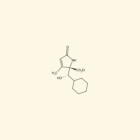 CCOC(=O)[C@]1([C@@H](O)C2CCCCC2)NC(=O)C=C1C